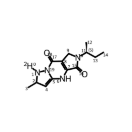 [2H]N1C(C)C=C2NC3=C(CN([C@@H](C)CC)C3=O)C(=O)N21